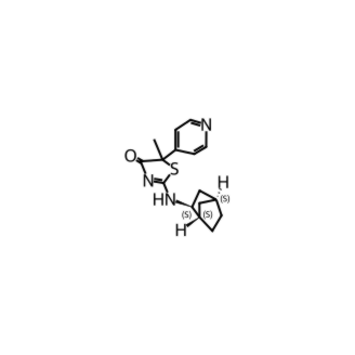 CC1(c2ccncc2)SC(N[C@H]2C[C@H]3CC[C@H]2C3)=NC1=O